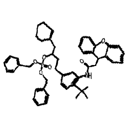 CC(C)(C)c1ccc(CCC(CC2CCCCC2)OP(=O)(OCc2ccccc2)OCc2ccccc2)cc1NC(=O)CC1c2ccccc2Oc2ccccc21